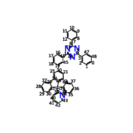 c1ccc(-c2nc(-c3ccccc3)nc(-c3cccc(-c4ccc5c(c4)-c4ccccc4C5(c4ccccc4)c4ccccn4)c3)n2)cc1